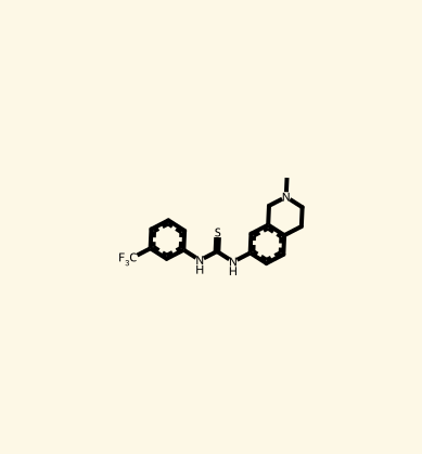 CN1CCc2ccc(NC(=S)Nc3cccc(C(F)(F)F)c3)cc2C1